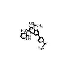 CC[C@H]1[C@H](C)[C@@H](Nc2ncccn2)c2cc(C3=CCN(C(C)=O)CC3)ccc2N1C(C)=O